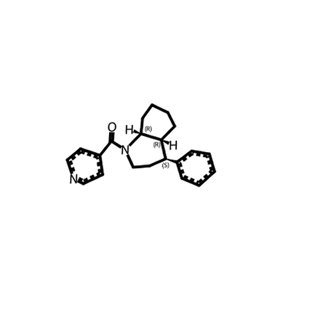 O=C(c1ccncc1)N1CC[C@H](c2ccccc2)[C@H]2CCCC[C@H]21